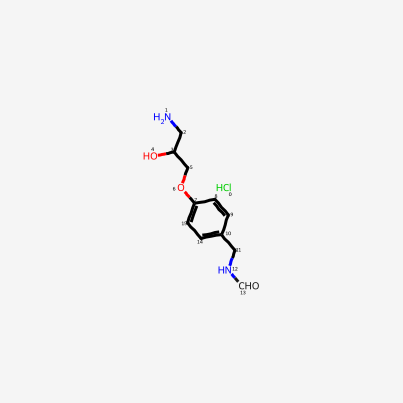 Cl.NCC(O)COc1ccc(CNC=O)cc1